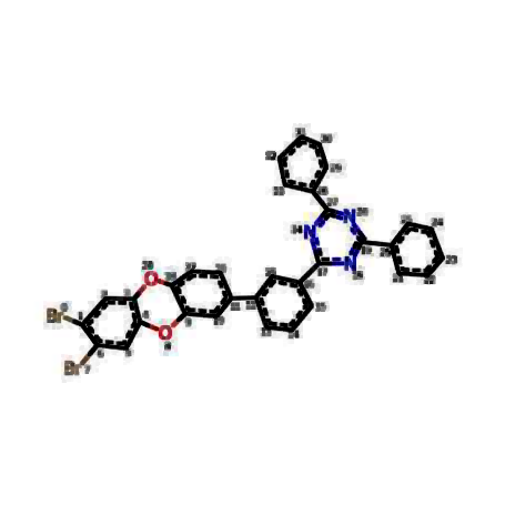 Brc1cc2c(cc1Br)Oc1cc(-c3cccc(-c4nc(-c5ccccc5)nc(-c5ccccc5)n4)c3)ccc1O2